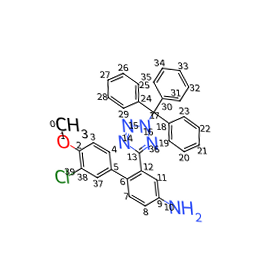 COc1ccc(-c2ccc(N)cc2-c2nnn(C(c3ccccc3)(c3ccccc3)c3ccccc3)n2)cc1Cl